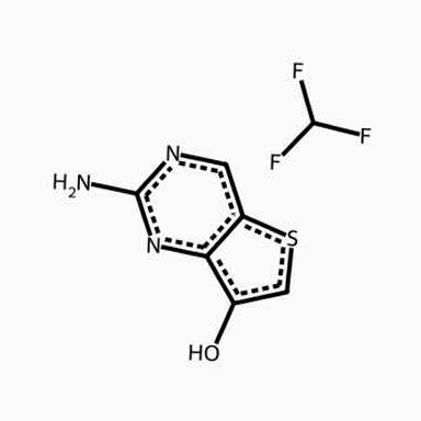 FC(F)F.Nc1ncc2scc(O)c2n1